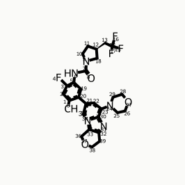 Cc1cc(F)c(NC(=O)N2CC[C@@H](CC(F)(F)F)C2)cc1-c1cc(N2CCOCC2)c2nc3c(n2c1)COCC3